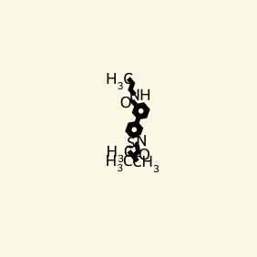 CCCNC(=O)c1cccc(-c2ccc3sc(C(=O)C(C)(C)C)nc3c2)c1